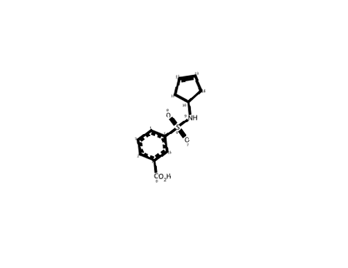 O=C(O)c1cccc(S(=O)(=O)NC2CC=CC2)c1